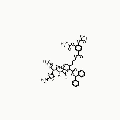 CO/N=C(\C(=O)NC1C(=O)N2C(C(=O)OC(c3ccccc3)c3ccccc3)=C(/C=C/COC(=O)c3ccc(OC(C)=O)c(OC(C)=O)c3)CS[C@H]12)c1csc(N)n1